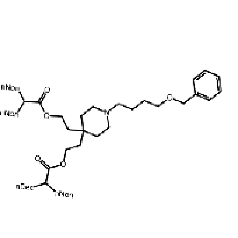 CCCCCCCCCCC(CCCCCCCCC)C(=O)OCCC1(CCOC(=O)C(CCCCCCCCC)CCCCCCCCC)CCN(CCCCOCc2ccccc2)CC1